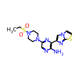 CCS(=O)(=O)N1CCN(c2cnc(N)c(-c3cn4ccsc4n3)n2)CC1